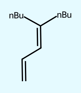 C=CC=C(CCCC)CCCC